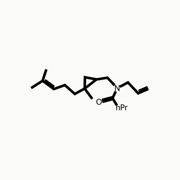 C=CCN(CC1CC1(C)CCC=C(C)C)C(=O)CCC